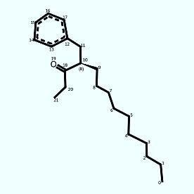 CCCCCCCCCC[C@H](Cc1ccccc1)C(=O)CC